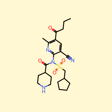 CCCC(=O)c1cc(C#N)c(N(C(=O)C2CCNCC2)S(=O)(=O)CC2CCCC2)nc1C